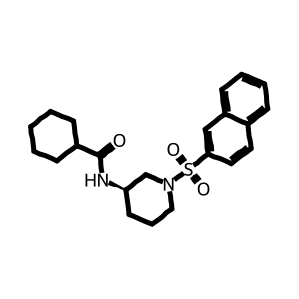 O=C(N[C@@H]1CCCN(S(=O)(=O)c2ccc3ccccc3c2)C1)C1CCCCC1